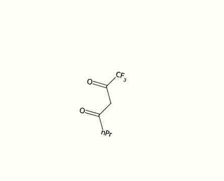 CCCC(=O)CC(=O)C(F)(F)F